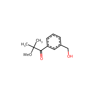 COC(C)(C)C(=O)c1cccc(CO)c1